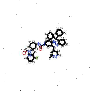 Cc1cc(-c2nn(C(c3ccccc3)(c3ccccc3)c3ccccc3)c3ccc(C(=O)N[C@@H]4CCC[C@](Cc5ccccc5F)(NC=O)C4)cc23)ccn1